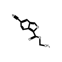 CCOC(=O)c1occ2cc(C#N)ccc12